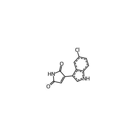 O=C1C=C(c2c[nH]c3ccc(Cl)cc23)C(=O)N1